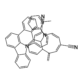 C=C1/C=C(C#N)\C=C/N(c2ccccc2C)C2C(c3ccccc3-c3cccc4c5ccccc5n(-c5cccc(C#N)c5)c34)=CC=CC12